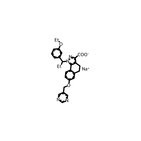 CCOc1cccc(C(CC)n2nc(C(=O)[O-])c3c2-c2ccc(OCc4cncnc4)cc2CC3)c1.[Na+]